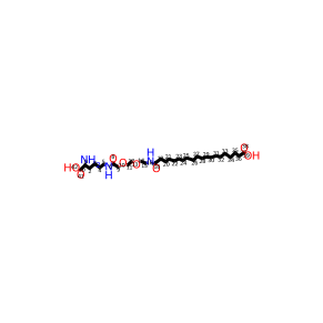 N[C@@H](CCCCNC(=O)COCCOCCNC(=O)CCCCCCCCCCCCCCCCCCC(=O)O)C(=O)O